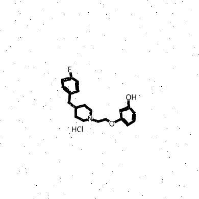 Cl.Oc1cccc(OCCN2CCC(Cc3ccc(F)cc3)CC2)c1